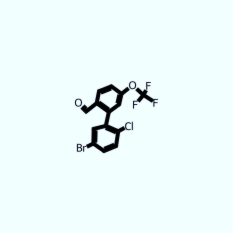 O=Cc1ccc(OC(F)(F)F)cc1-c1cc(Br)ccc1Cl